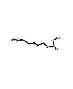 CCCCCCCCCCCCO[PH](=O)OCCC